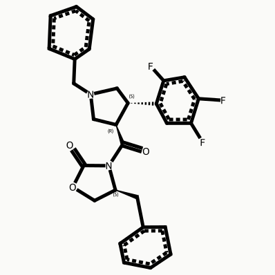 O=C1OC[C@H](Cc2ccccc2)N1C(=O)[C@H]1CN(Cc2ccccc2)C[C@@H]1c1cc(F)c(F)cc1F